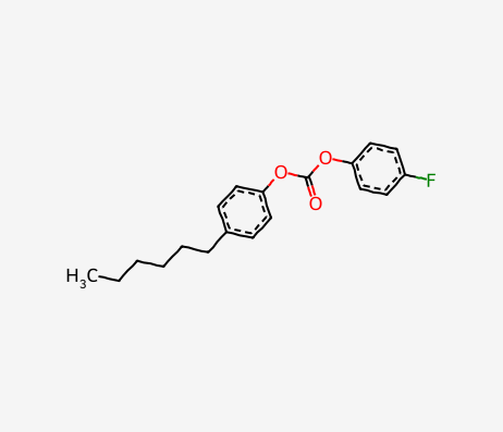 CCCCCCc1ccc(OC(=O)Oc2ccc(F)cc2)cc1